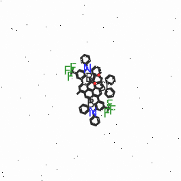 Cc1cc2c3c(cc4c([Si](c5ccccc5)(c5ccccc5)c5ccccc5)cc5c6c(cc1c3c46)B1c3ccccc3N(c3ccccc3)c3cc(C(F)(F)F)cc-5c31)B1c3ccccc3N(c3ccccc3)c3cc(C(F)(F)F)cc-2c31